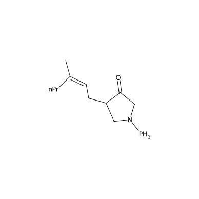 CCC/C(C)=C\CC1CN(P)CC1=O